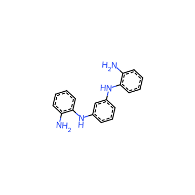 Nc1ccccc1Nc1cccc(Nc2ccccc2N)c1